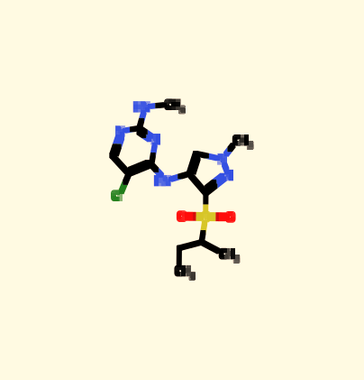 CCC(C)S(=O)(=O)c1nn(C)cc1Nc1nc(NC)ncc1Cl